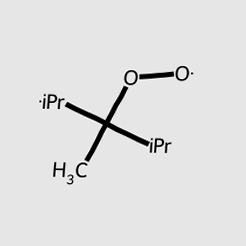 C[C](C)C(C)(O[O])C(C)C